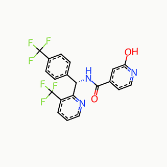 O=C(N[C@@H](c1ccc(C(F)(F)F)cc1)c1ncccc1C(F)(F)F)c1ccnc(O)c1